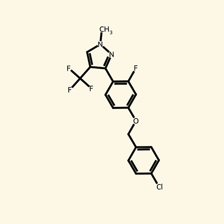 Cn1cc(C(F)(F)F)c(-c2ccc(OCc3ccc(Cl)cc3)cc2F)n1